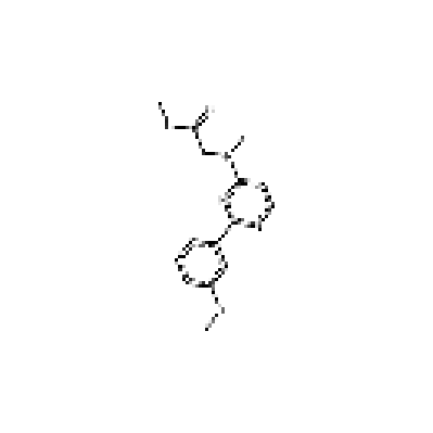 COC(=O)CN(C)c1ccnc(-c2cccc(OC)c2)n1